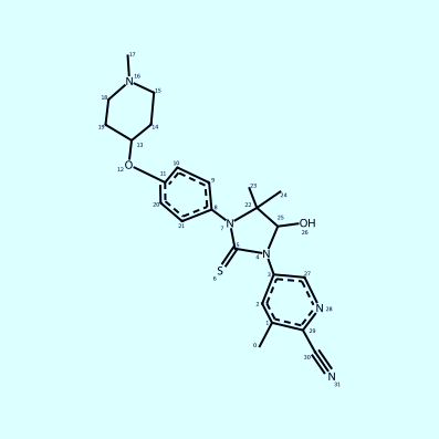 Cc1cc(N2C(=S)N(c3ccc(OC4CCN(C)CC4)cc3)C(C)(C)C2O)cnc1C#N